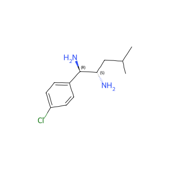 CC(C)C[C@H](N)[C@H](N)c1ccc(Cl)cc1